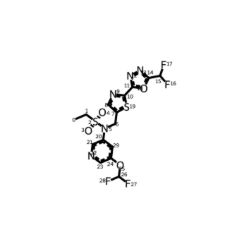 CCS(=O)(=O)N(Cc1cnc(-c2nnc(C(F)F)o2)s1)c1cncc(OC(F)F)c1